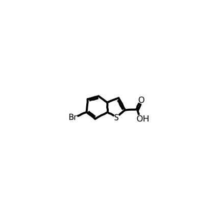 O=C(O)C1=CC2C=CC(Br)=CC2S1